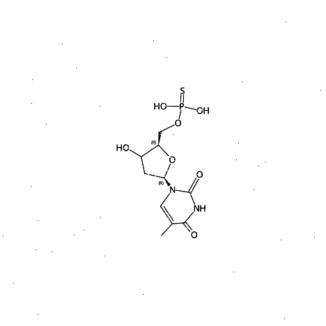 Cc1cn([C@H]2CC(O)[C@@H](COP(O)(O)=S)O2)c(=O)[nH]c1=O